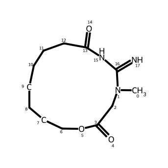 CN1CC(=O)OCCCCCCCC(=O)NC1=N